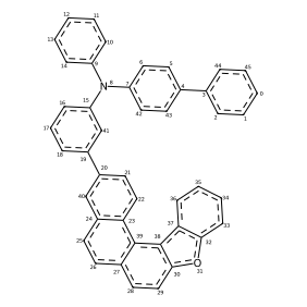 c1ccc(-c2ccc(N(c3ccccc3)c3cccc(-c4ccc5c(ccc6ccc7oc8ccccc8c7c65)c4)c3)cc2)cc1